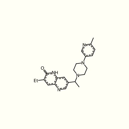 CCc1cc2ncc(C(C)N3CCN(c4ccc(C)nc4)CC3)cc2[nH]c1=O